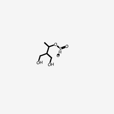 CC(O[SH](=O)=O)C(CO)CO